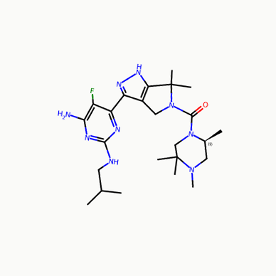 CC(C)CNc1nc(N)c(F)c(-c2n[nH]c3c2CN(C(=O)N2CC(C)(C)N(C)C[C@@H]2C)C3(C)C)n1